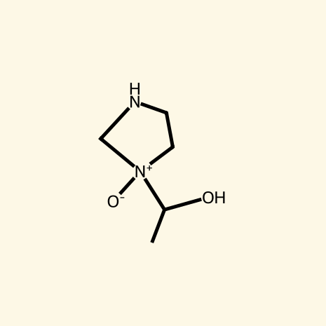 CC(O)[N+]1([O-])CCNC1